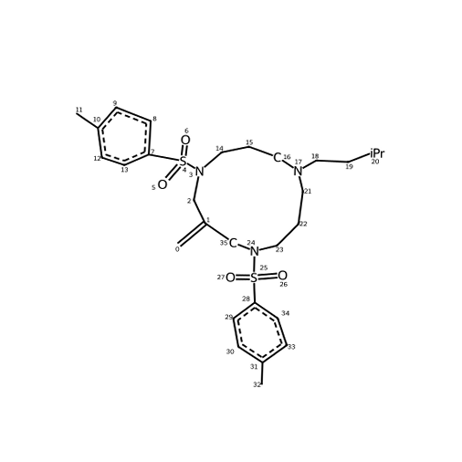 C=C1CN(S(=O)(=O)c2ccc(C)cc2)CCCN(CCC(C)C)CCCN(S(=O)(=O)c2ccc(C)cc2)C1